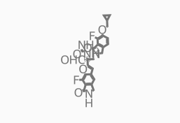 NC(=O)N[C@@](C=O)(CN1Cc2ccc(OCC3CC3)c(F)c2C1=O)c1cc2cc3c(c(F)c2o1)C(=O)NC3